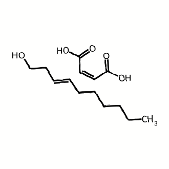 CCCCCCC=CCCO.O=C(O)/C=C\C(=O)O